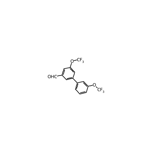 O=Cc1cc(OC(F)(F)F)cc(-c2cccc(OC(F)(F)F)c2)c1